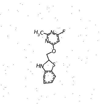 Cc1nc(F)cc(OCC2Nc3ccccc3S2)n1